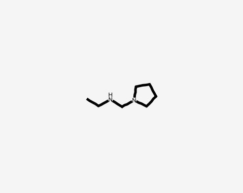 CCN[CH]N1CCCC1